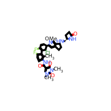 COc1nc(C2C=CC(F)=C(c3c(F)ccc(NC(=O)c4cn(C)c(=O)n(C)c4=O)c3C)C2Cl)cc2c1[C@@H](NC[C@@H]1CCC(=O)N1)CC2